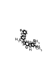 CNc1cc2[nH]c(C(=O)c3cnn(-c4cnc(Oc5c(F)cccc5F)cc4C)c3N)cc2cc1OC